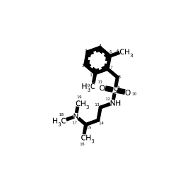 Cc1cccc(C)c1CS(=O)(=O)NCCC(C)N(C)C